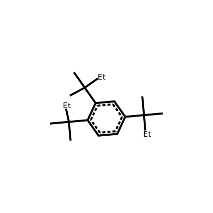 CCC(C)(C)c1ccc(C(C)(C)CC)c(C(C)(C)CC)c1